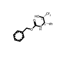 CC(C)[C@H](NC(=O)OCc1ccccc1)[C@H](O)C(F)(F)F